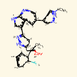 Cn1cc(-c2cnc3[nH]cc(-c4cc(C(C)(O)c5ccccc5F)[nH]n4)c3c2)cn1